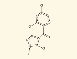 Cn1ncc(C(=O)c2ccc(Cl)cc2Cl)c1Cl